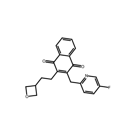 O=C1C(CCC2COC2)=C(Cc2ccc(F)cn2)C(=O)c2ccccc21